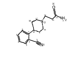 N#Cc1ccccc1C1CCN(CCC(N)=O)CC1